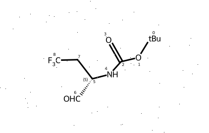 CC(C)(C)OC(=O)N[C@H](C=O)CC(F)(F)F